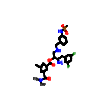 CCCN(CCC)C(=O)c1cc(C)cc(C(=O)OC(CNCc2cccc(NS(C)(=O)=O)c2)C(N)Cc2cc(F)cc(F)c2)c1